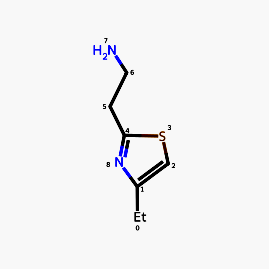 CCc1csc(CCN)n1